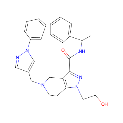 CC(NC(=O)c1nn(CCO)c2c1CN(Cc1cnn(-c3ccccc3)c1)CC2)c1ccccc1